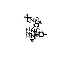 Cc1ccc([C@@]2(CC3CC3)NC(=N)N(Cc3ccc(C(C)(C)C)c(C(=O)N4CCC(C)(C)C4)c3)C2=O)cc1